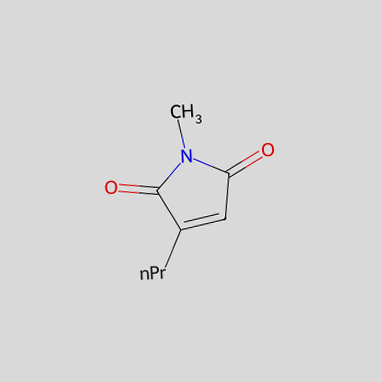 CCCC1=CC(=O)N(C)C1=O